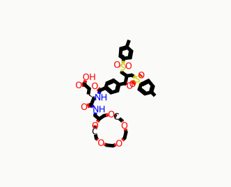 Cc1ccc(S(=O)(=O)CC(CS(=O)(=O)c2ccc(C)cc2)C(=O)c2ccc(C(=O)N[C@@H](CCC(=O)O)C(=O)NCC3COCCOCCOCCOCCO3)cc2)cc1